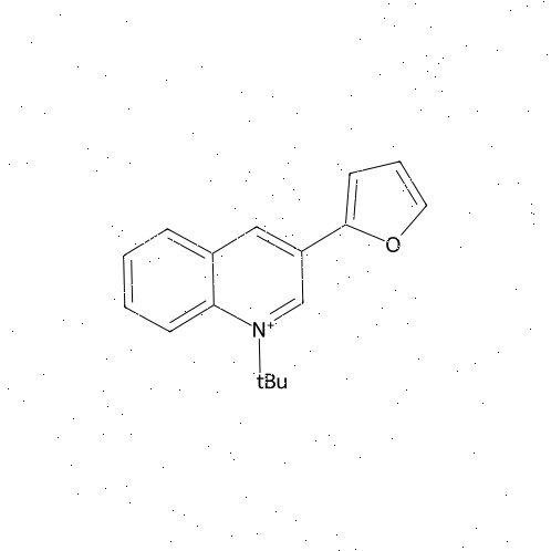 CC(C)(C)[n+]1cc(-c2ccco2)cc2ccccc21